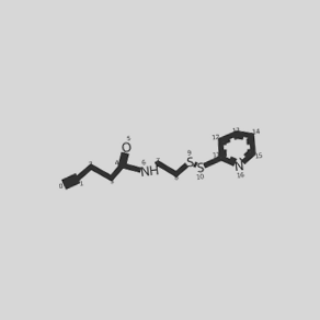 C#CCCC(=O)NCCSSc1ccccn1